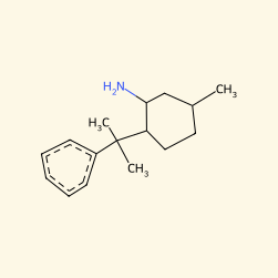 CC1CCC(C(C)(C)c2ccccc2)C(N)C1